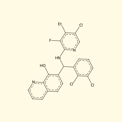 CCc1c(Cl)cnc(NC(c2cccc(Cl)c2Cl)c2ccc3cccnc3c2O)c1F